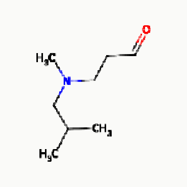 CC(C)CN(C)CCC=O